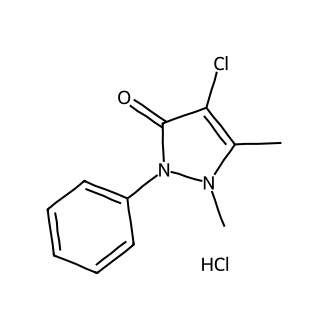 Cc1c(Cl)c(=O)n(-c2ccccc2)n1C.Cl